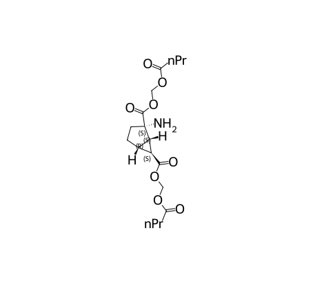 CCCC(=O)OCOC(=O)[C@H]1[C@@H]2CC[C@@](N)(C(=O)OCOC(=O)CCC)[C@@H]21